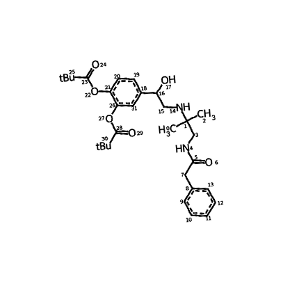 CC(C)(CNC(=O)Cc1ccccc1)NCC(O)c1ccc(OC(=O)C(C)(C)C)c(OC(=O)C(C)(C)C)c1